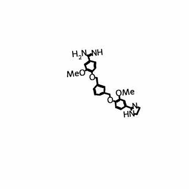 COc1cc(C(=N)N)ccc1OCc1cccc(COc2ccc(C3=NCCN3)cc2OC)c1